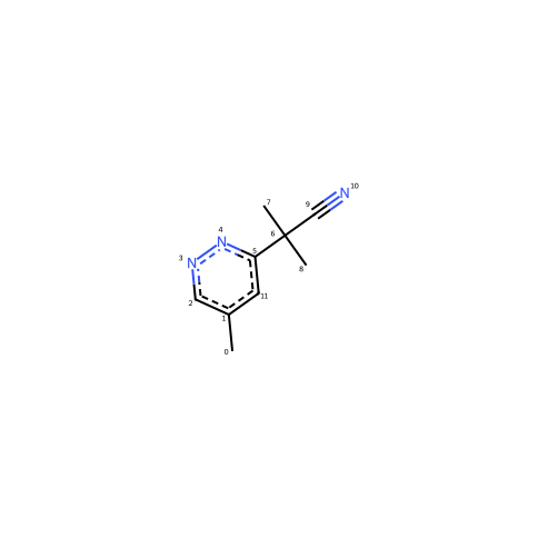 Cc1cnnc(C(C)(C)C#N)c1